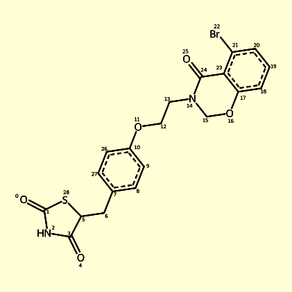 O=C1NC(=O)C(Cc2ccc(OCCN3COc4cccc(Br)c4C3=O)cc2)S1